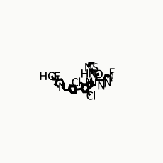 O=C(Nc1nccs1)C(c1ncn2c1C[C@@H](F)C2)n1cc2c(Cl)cc(-c3ccc(CN4CCC(F)(CO)CC4)cc3)c(Cl)c2n1